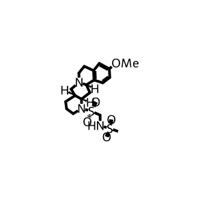 COc1ccc2c(c1)CCN1C[C@H]3CCCN(S(=O)(=O)CNS(C)(=O)=O)[C@H]3C[C@@H]21